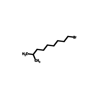 CC(C)CCCCCCCBr